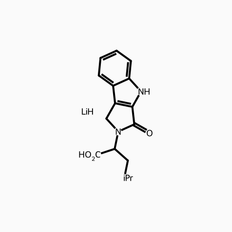 CC(C)CC(C(=O)O)N1Cc2c([nH]c3ccccc23)C1=O.[LiH]